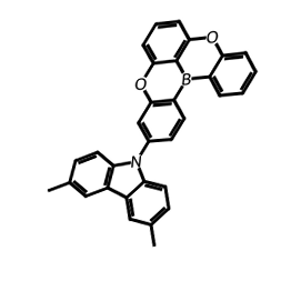 Cc1ccc2c(c1)c1cc(C)ccc1n2-c1ccc2c(c1)Oc1cccc3c1B2c1ccccc1O3